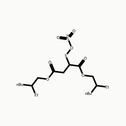 CCCCC(CC)COC(=O)CC(SO[SH](=O)=O)C(=O)OCC(CC)CCCC